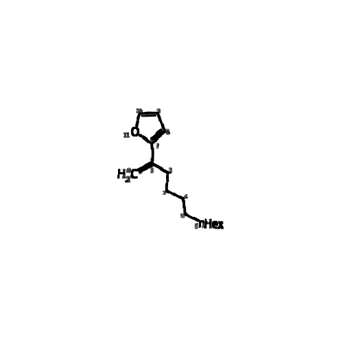 C=C(CCCCCCCCCC)c1ccco1